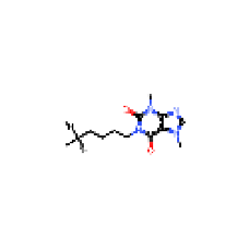 [2H]C([2H])(C)CCCCn1c(=O)c2c(ncn2C)n(C)c1=O